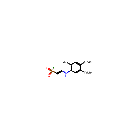 COc1cc(NC=CS(=O)(=O)F)c(C(C)=O)cc1OC